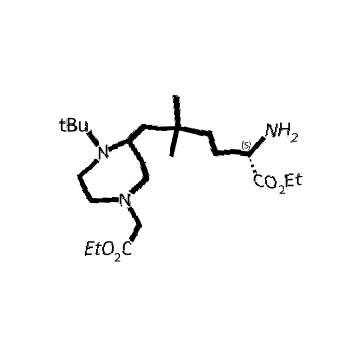 CCOC(=O)CN1CCN(C(C)(C)C)C(CC(C)(C)CC[C@H](N)C(=O)OCC)C1